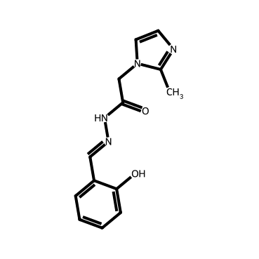 Cc1nccn1CC(=O)N/N=C/c1ccccc1O